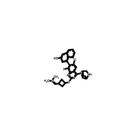 C[N+](C)=CC1CC(Oc2nc(N3CC4CCCC3CN4)c3cc(Cl)c(-c4cc(O)cc5ccccc45)c(F)c3n2)C1